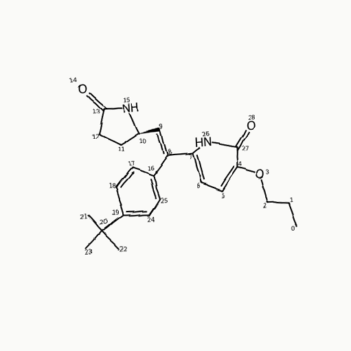 CCCOc1ccc(/C(=C/[C@H]2CCC(=O)N2)c2ccc(C(C)(C)C)cc2)[nH]c1=O